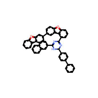 c1ccc(-c2ccc(C3N=C(c4cccc5oc6ccc(-c7ccc8c(c7)oc7ccccc78)cc6c45)N=C(c4ccc5ccccc5c4)N3)cc2)cc1